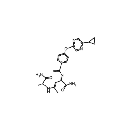 C=C(/N=C(\C=C(/C)N[C@@H](C)C(N)=O)C(N)=O)c1ccc(Oc2cnc(C3CC3)cn2)cc1